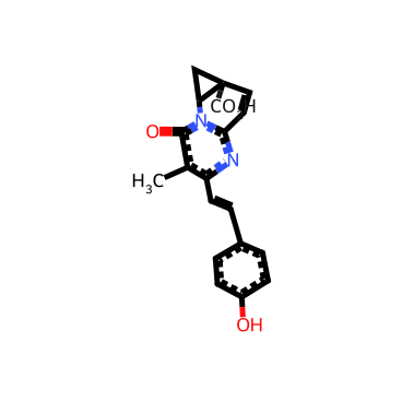 Cc1c(/C=C/c2ccc(O)cc2)nc2n(c1=O)C1CC1(C(=O)O)C=C2